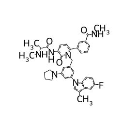 CNC(=O)c1cccc(-c2ccc(NC(=O)C(C)NC)c(=O)n2Cc2cc(N3CCCC3)cc(-n3cc(C)c4cc(F)ccc43)c2)c1